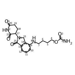 NC(=O)OCCCCNc1cccc2c1CN(C1CCC(=O)NC1=O)C2=O